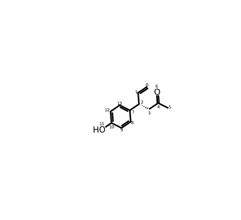 C=C[C@H](CC(C)=O)c1ccc(O)cc1